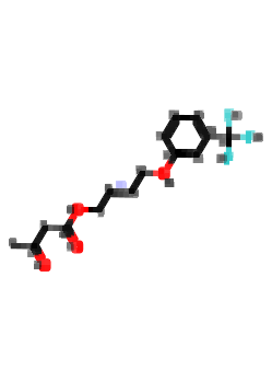 CC(=O)CC(=O)OC/C=C/COc1cccc(C(F)(F)F)c1